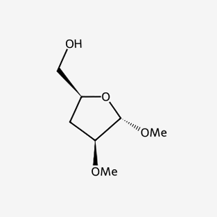 CO[C@H]1O[C@H](CO)C[C@@H]1OC